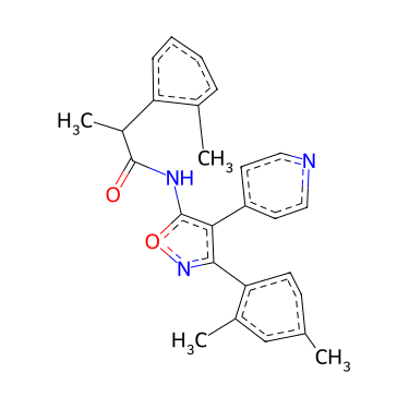 Cc1ccc(-c2noc(NC(=O)C(C)c3ccccc3C)c2-c2ccncc2)c(C)c1